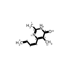 C=C/C=C\c1nc(C)[nH]c(=O)c1C